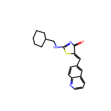 O=C1N=C(NCC2CCCCC2)S/C1=C\c1ccc2ncccc2c1